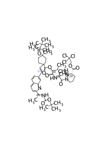 CC(C)[C@H](OC(=O)C1(/C=C/c2ccc3ccc([C@@H](C)NC(=O)OC(C)(C)C)nc3c2)CCC(C)(O[Si](C)(C)C(C)(C)C)CC1)C(=O)N[C@@H](C)C(=O)N1CCC[C@@H](C(=O)OCC(Cl)(Cl)Cl)N1